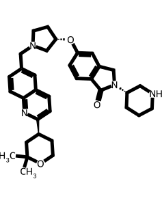 CC1(C)C[C@@H](c2ccc3cc(CN4CC[C@H](Oc5ccc6c(c5)CN([C@H]5CCCNC5)C6=O)C4)ccc3n2)CCO1